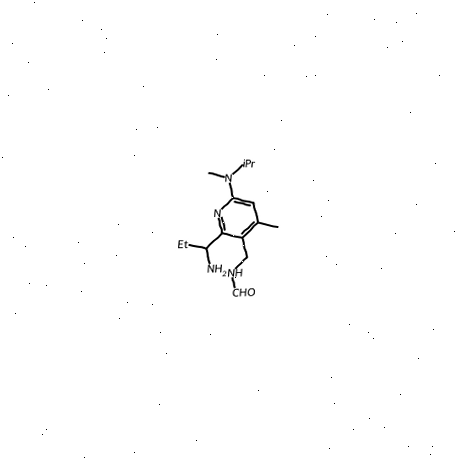 CCC(N)c1nc(N(C)C(C)C)cc(C)c1CNC=O